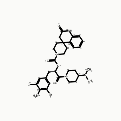 CCc1cc(C[C@@H](OC(=O)N2CCC3(CC2)CC(=O)Nc2ccccc23)C(=O)N2CCC(N(C)C)CC2)cc(Cl)c1N